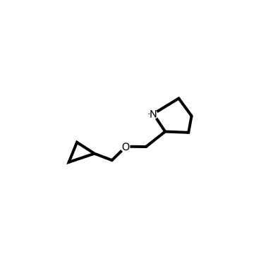 C1C[N]C(COCC2CC2)C1